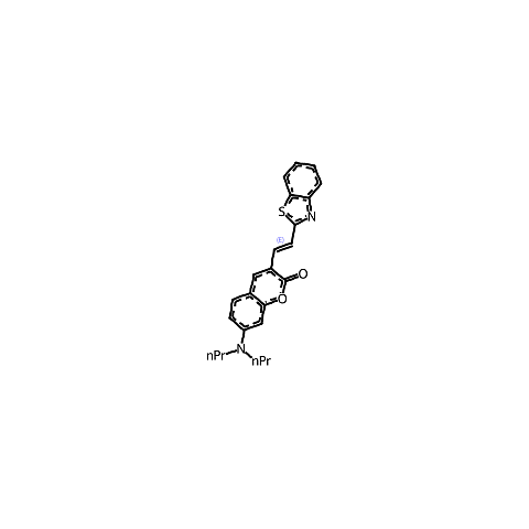 CCCN(CCC)c1ccc2cc(/C=C/c3nc4ccccc4s3)c(=O)oc2c1